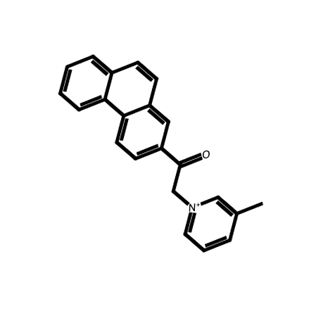 Cc1ccc[n+](CC(=O)c2ccc3c(ccc4ccccc43)c2)c1